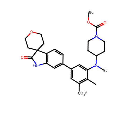 CCN(c1cc(-c2ccc3c(c2)NC(=O)C32CCOCC2)cc(C(=O)O)c1C)C1CCN(C(=O)OC(C)(C)C)CC1